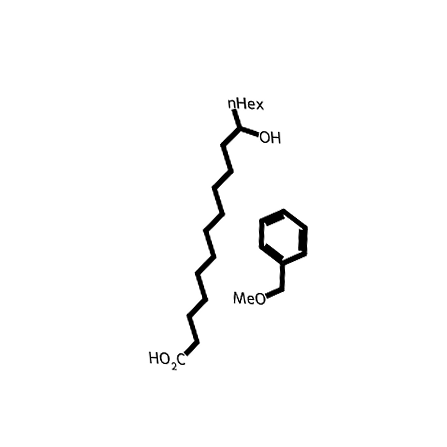 CCCCCCC(O)CCCCCCCCCCC(=O)O.COCc1ccccc1